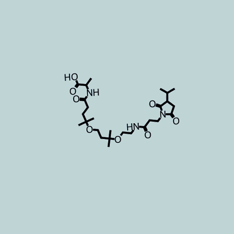 CC(NC(=O)CCC(C)(C)OCCC(C)(C)OCCNC(=O)CCN1C(=O)CC(C(C)C)C1=O)C(=O)O